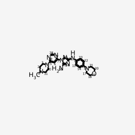 CN1CCN(c2cc(-n3nc(Nc4ccc(N5CCOCC5)cc4)nc3N)ncn2)CC1